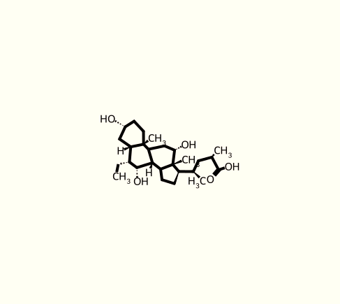 CC[C@H]1[C@@H](O)[C@H]2C3CC[C@H]([C@H](C)C[C@H](C)C(=O)O)[C@@]3(C)[C@@H](O)CC2[C@@]2(C)CC[C@@H](O)C[C@@H]12